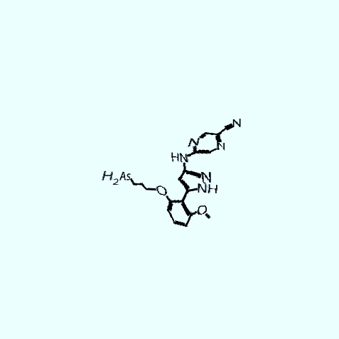 COc1cccc(OCCC[AsH2])c1-c1cc(Nc2cnc(C#N)cn2)n[nH]1